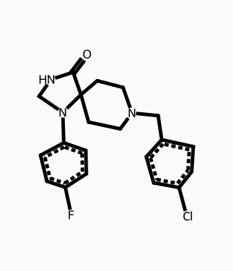 O=C1NCN(c2ccc(F)cc2)C12CCN(Cc1ccc(Cl)cc1)CC2